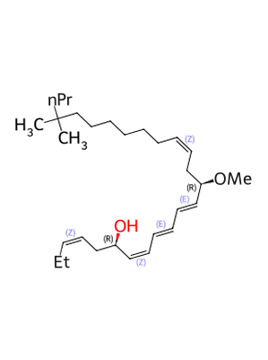 CC/C=C\C[C@@H](O)\C=C/C=C/C=C/[C@@H](C/C=C\CCCCCCC(C)(C)CCC)OC